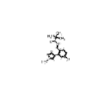 Cn1cc(-c2cc(Cl)ccc2/C=N/[S+]([O-])C(C)(C)C)cn1